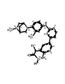 CCC(C(=O)OC(C)C)c1cc(-c2ccnc(Nc3ccc(N4CC5CC4CN5C)c(C)c3)n2)cnc1N